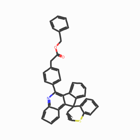 O=C(Cc1ccc(-c2nc3ccccc3c3c2-c2ccccc2C32c3ccccc3Sc3ccccc32)cc1)OCc1ccccc1